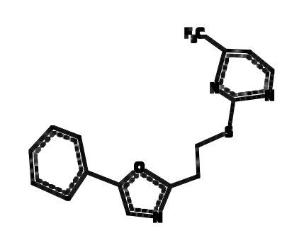 FC(F)(F)c1ccnc(SCCc2ncc(-c3ccccc3)o2)n1